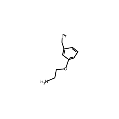 CC(C)Cc1cccc(OCCN)c1